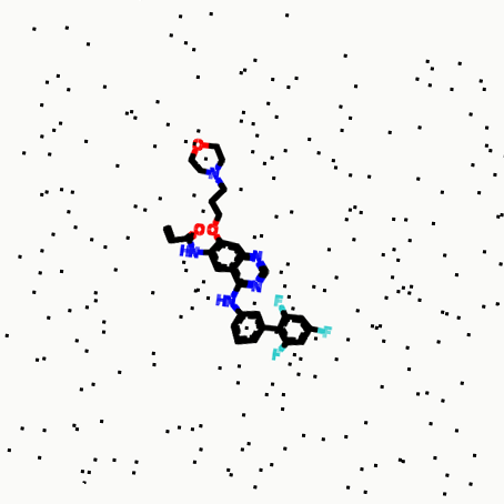 C=CC(=O)Nc1cc2c(Nc3cccc(-c4c(F)cc(F)cc4F)c3)ncnc2cc1OCCCN1CCOCC1